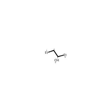 [CH].[CH]CCCCC